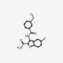 NC(=O)c1oc2ccc(F)cc2c1NC(=O)c1cccc(CCl)c1